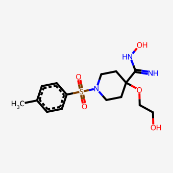 Cc1ccc(S(=O)(=O)N2CCC(OCCO)(C(=N)NO)CC2)cc1